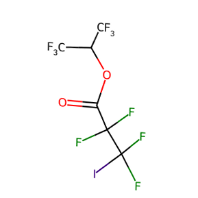 O=C(OC(C(F)(F)F)C(F)(F)F)C(F)(F)C(F)(F)I